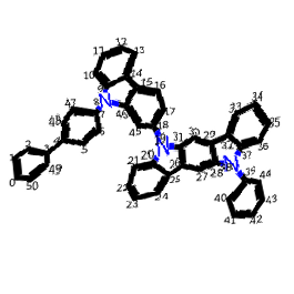 c1ccc(-c2ccc(-n3c4ccccc4c4ccc(-n5c6ccccc6c6cc7c(cc65)c5ccccc5n7-c5ccccc5)cc43)cc2)cc1